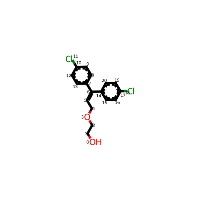 OCCOCC=C(c1ccc(Cl)cc1)c1ccc(Cl)cc1